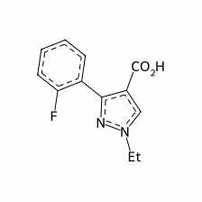 CCn1cc(C(=O)O)c(-c2ccccc2F)n1